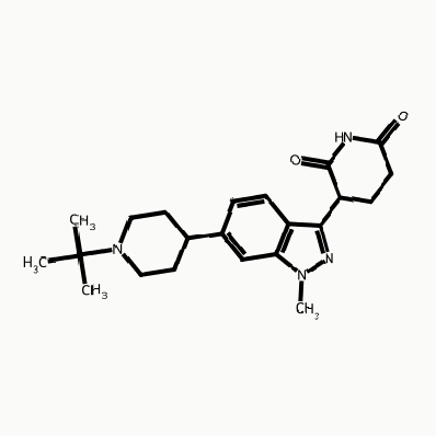 Cn1nc(C2CCC(=O)NC2=O)c2ccc(C3CCN(C(C)(C)C)CC3)cc21